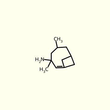 CC1CC2CC(=CC(C)(N)C1)C2